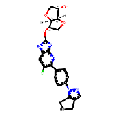 O[C@@H]1CO[C@H]2[C@@H]1OC[C@H]2Oc1nc2nc(-c3ccc(-n4ncc5c4CBC5)cc3)c(Cl)cc2[nH]1